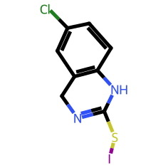 Clc1ccc2c(c1)CN=C(SI)N2